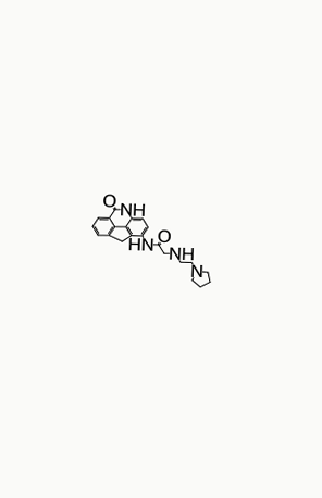 O=C(CNCCN1CCCC1)Nc1ccc2[nH]c(=O)c3cccc4c3c2c1C4